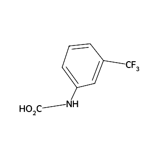 O=C(O)Nc1cccc(C(F)(F)F)c1